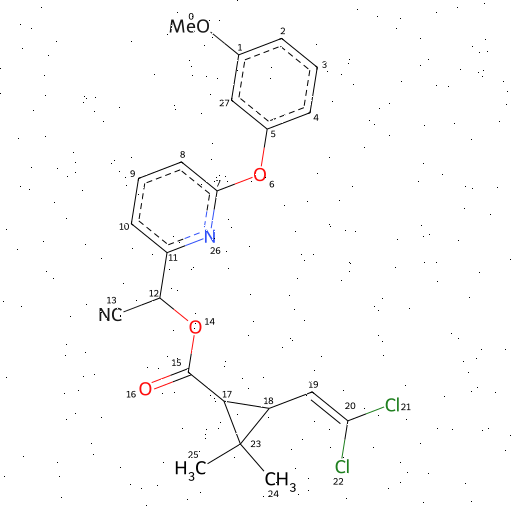 COc1cccc(Oc2cccc(C(C#N)OC(=O)C3C(C=C(Cl)Cl)C3(C)C)n2)c1